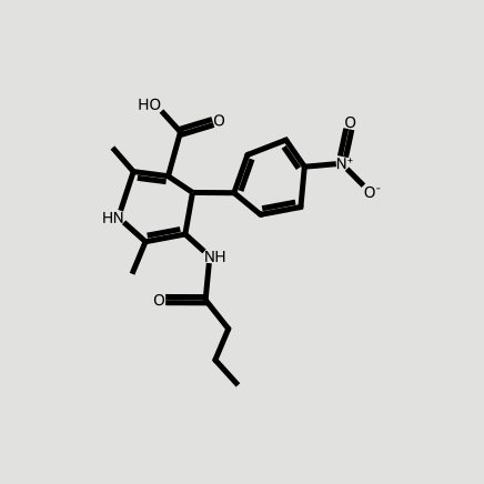 CCCC(=O)NC1=C(C)NC(C)=C(C(=O)O)C1c1ccc([N+](=O)[O-])cc1